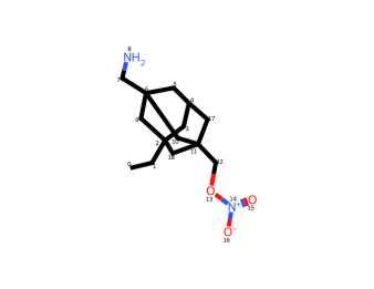 CCC12CC3CC(CN)(C1)CC(CO[N+](=O)[O-])(C3)C2